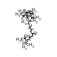 CC(C)N(CCCC(=O)SCCOCCOP(N(C(C)C)C(C)C)N(C(C)C)C(C)C)C(C)C